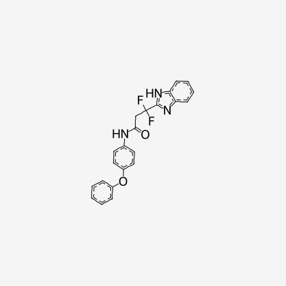 O=C(CC(F)(F)c1nc2ccccc2[nH]1)Nc1ccc(Oc2ccccc2)cc1